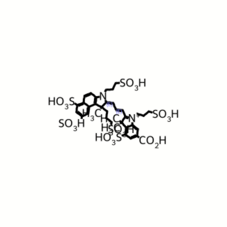 CC1(C)C(/C=C/C=C2/N(CCCS(=O)(=O)O)c3ccc4c(S(=O)(=O)O)cc(S(=O)(=O)O)cc4c3C2(C)CCCS(=O)(=O)O)=[N+](CCCS(=O)(=O)O)c2cc(C(=O)O)cc(S(=O)(=O)O)c21